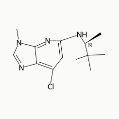 C[C@H](Nc1cc(Cl)c2ncn(C)c2n1)C(C)(C)C